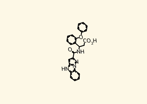 O=C(O)CC(NC(=O)c1cc2[nH]c3ccccc3n2n1)c1ccccc1Oc1ccccc1